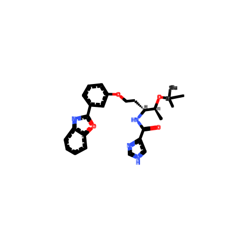 C[C@H](O[Si](C)(C)C(C)(C)C)[C@@H](CCOc1cccc(-c2nc3ccccc3o2)c1)NC(=O)c1c[nH]cn1